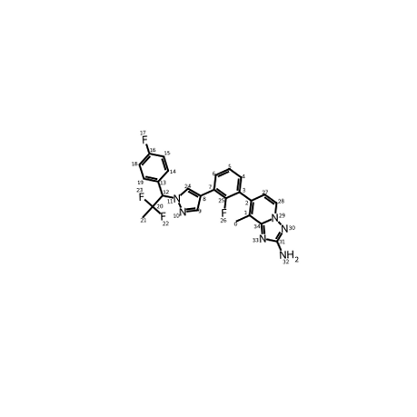 Cc1c(-c2cccc(-c3cnn(C(c4ccc(F)cc4)C(C)(F)F)c3)c2F)ccn2nc(N)nc12